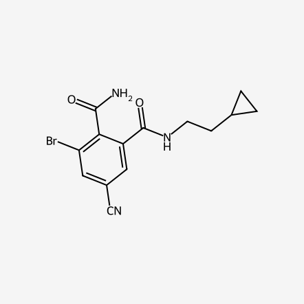 N#Cc1cc(Br)c(C(N)=O)c(C(=O)NCCC2CC2)c1